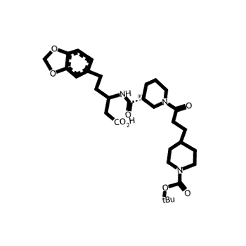 CC(C)(C)OC(=O)N1CCC(CCC(=O)N2CCC[C@@H](C(=O)NC(CCc3ccc4c(c3)OCO4)CC(=O)O)C2)CC1